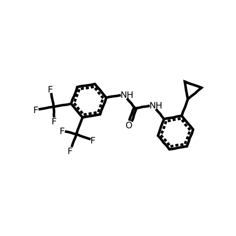 O=C(Nc1ccc(C(F)(F)F)c(C(F)(F)F)c1)Nc1ccccc1C1CC1